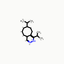 CC(C)C1=C2CCC(C(C)C)CCCC2C=NN1